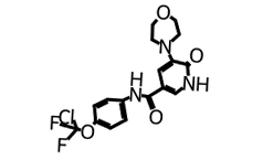 O=C(Nc1ccc(OC(F)(F)Cl)cc1)c1c[nH]c(=O)c(N2CCOCC2)c1